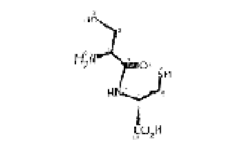 N[C@@H](CO)C(=O)N[C@@H](CS)C(=O)O